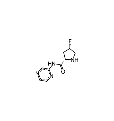 O=C(Nc1cnccn1)[C@@H]1C[C@@H](F)CN1